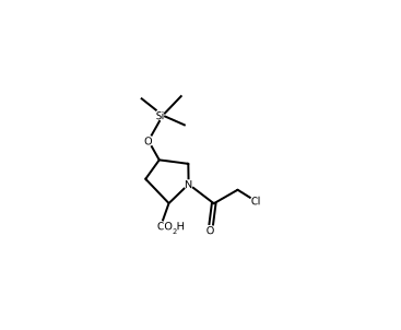 C[Si](C)(C)OC1CC(C(=O)O)N(C(=O)CCl)C1